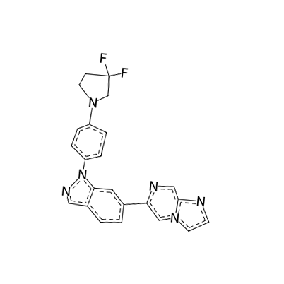 FC1(F)CCN(c2ccc(-n3ncc4ccc(-c5cn6ccnc6cn5)cc43)cc2)C1